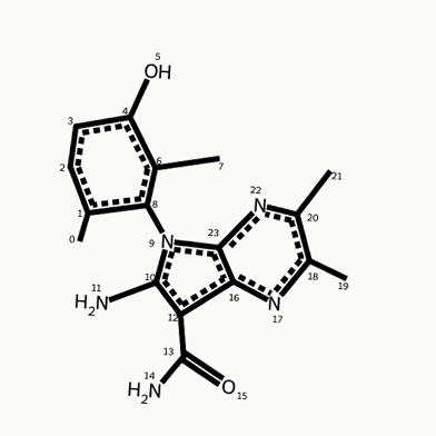 Cc1ccc(O)c(C)c1-n1c(N)c(C(N)=O)c2nc(C)c(C)nc21